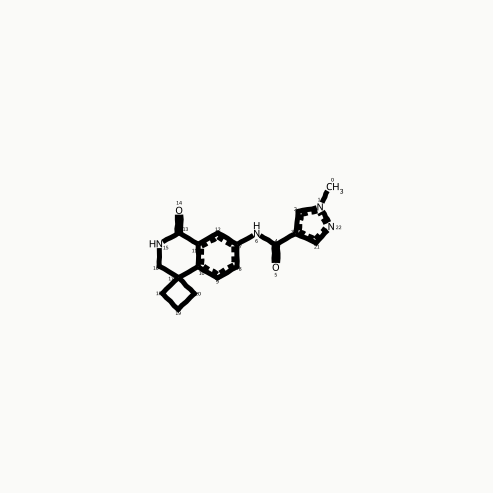 Cn1cc(C(=O)Nc2ccc3c(c2)C(=O)NCC32CCC2)cn1